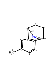 Cc1ccc2c(c1)C1CCC2CNC1